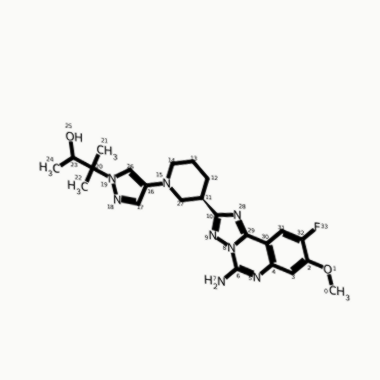 COc1cc2nc(N)n3nc([C@@H]4CCCN(c5cnn(C(C)(C)C(C)O)c5)C4)nc3c2cc1F